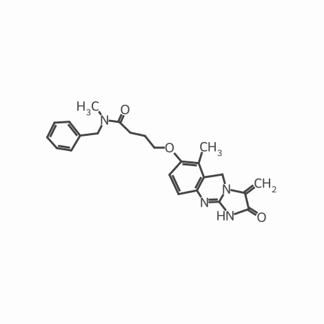 C=c1c(=O)[nH]c2n1Cc1c(ccc(OCCCC(=O)N(C)Cc3ccccc3)c1C)N=2